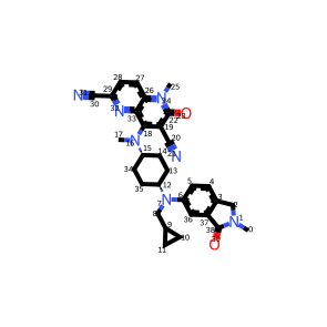 CN1Cc2ccc(N(CC3CC3)[C@H]3CC[C@@H](N(C)c4c(C#N)c(=O)n(C)c5ccc(C#N)nc45)CC3)cc2C1=O